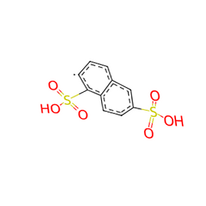 O=S(=O)(O)c1ccc2c(S(=O)(=O)O)[c]ccc2c1